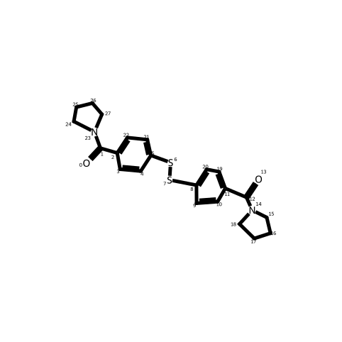 O=C(c1ccc(SSc2ccc(C(=O)N3CCCC3)cc2)cc1)N1CCCC1